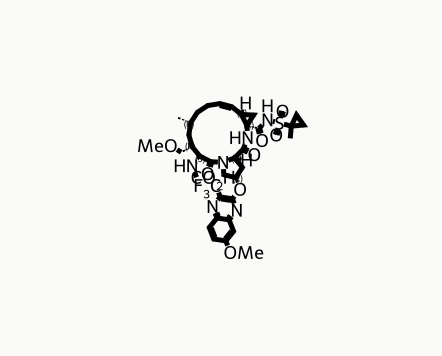 COC[C@@H]1C[C@H](C)CCC=C[C@@H]2C[C@@]2(C(=O)NS(=O)(=O)C2(C)CC2)NC(=O)[C@@H]2C[C@@H](Oc3nc4cc(OC)ccc4nc3C(F)(F)F)CN2C(=O)[C@H]1NC(=O)O